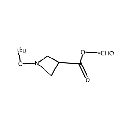 CC(C)(C)ON1CC(C(=O)OC=O)C1